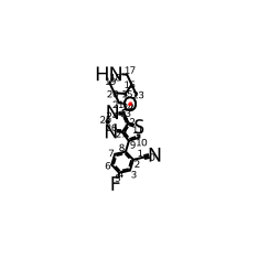 N#Cc1cc(F)ccc1-c1csc2c(OC3C4CNCC3COC4)ncnc12